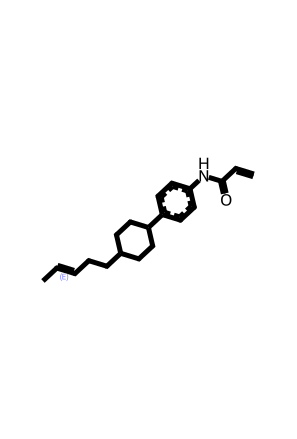 C=CC(=O)Nc1ccc(C2CCC(CC/C=C/C)CC2)cc1